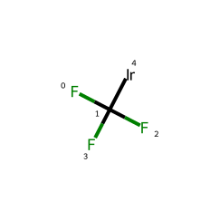 F[C](F)(F)[Ir]